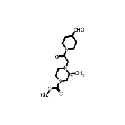 C[C@H]1CN(C(=O)OC(C)(C)C)CCN1CC(=O)N1CCC(C=O)CC1